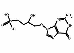 Nc1nc2c(ncn2OCC(O)CCP(=O)(O)O)c(=O)[nH]1